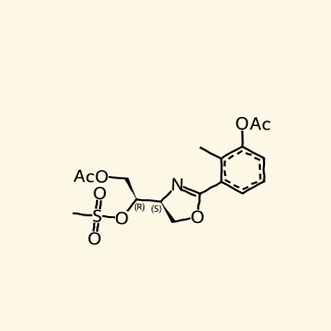 CC(=O)OC[C@H](OS(C)(=O)=O)[C@@H]1COC(c2cccc(OC(C)=O)c2C)=N1